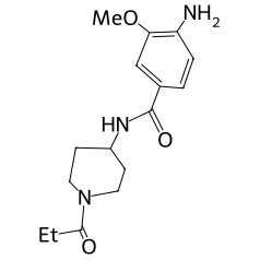 CCC(=O)N1CCC(NC(=O)c2ccc(N)c(OC)c2)CC1